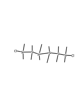 C[Si](C)(Cl)[Si](C)(C)[Si](C)(C)[Si](C)(C)[Si](C)(C)[Si](C)(C)Cl